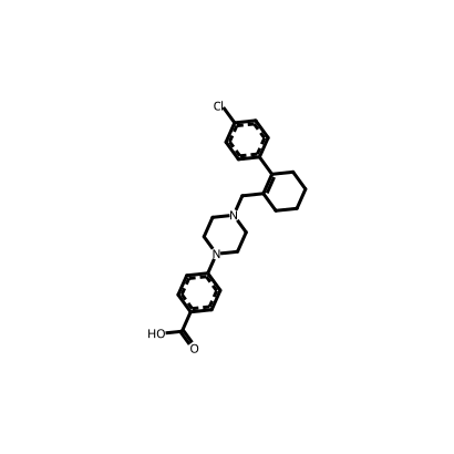 O=C(O)c1ccc(N2CCN(CC3=C(c4ccc(Cl)cc4)CCCC3)CC2)cc1